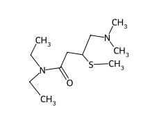 CCN(CC)C(=O)CC(CN(C)C)SC